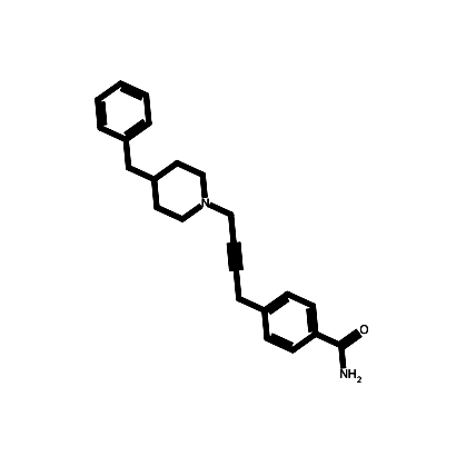 NC(=O)c1ccc(CC#CCN2CCC(Cc3ccccc3)CC2)cc1